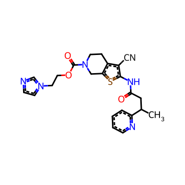 CC(CC(=O)Nc1sc2c(c1C#N)CCN(C(=O)OCCn1ccnc1)C2)c1ccccn1